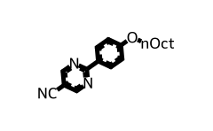 CCCCCCCCOc1ccc(-c2ncc(C#N)cn2)cc1